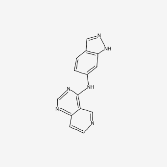 c1cc2ncnc(Nc3ccc4cn[nH]c4c3)c2cn1